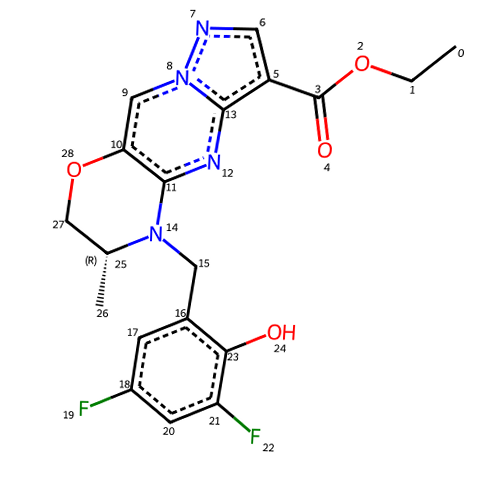 CCOC(=O)c1cnn2cc3c(nc12)N(Cc1cc(F)cc(F)c1O)[C@H](C)CO3